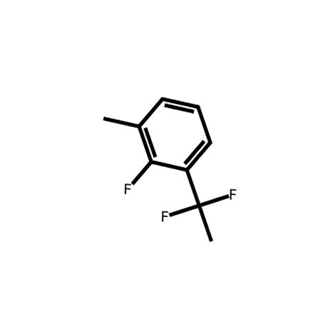 Cc1cccc(C(C)(F)F)c1F